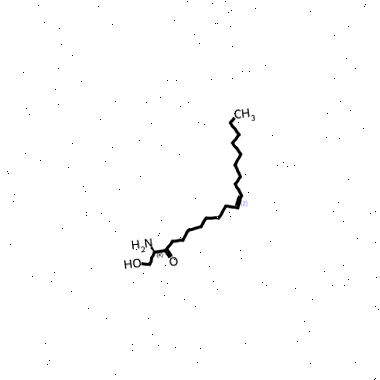 CCCCCCCC/C=C\CCCCCCCC(=O)[C@H](N)CO